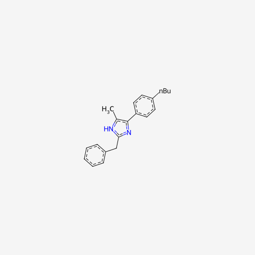 CCCCc1ccc(-c2nc(Cc3ccccc3)[nH]c2C)cc1